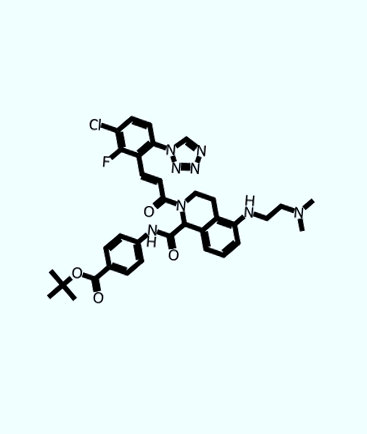 CN(C)CCNc1cccc2c1CCN(C(=O)/C=C/c1c(-n3cnnn3)ccc(Cl)c1F)C2C(=O)Nc1ccc(C(=O)OC(C)(C)C)cc1